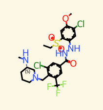 CCS(=O)(=O)c1cc(OC)c(Cl)cc1NNC(=O)c1cc(Cl)c(CN2CCC[C@H](NC)C2)c(C(F)(F)F)c1